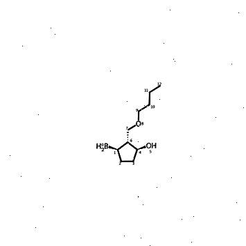 B[C@@H]1CC[C@H](O)[C@H]1COCCCC